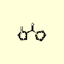 O=C(c1ccc[nH]1)n1[c]ccc1